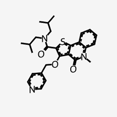 CC(C)CN(CC(C)C)C(=O)c1sc2c(c1OCc1ccncc1)c(=O)n(C)c1ccccc21